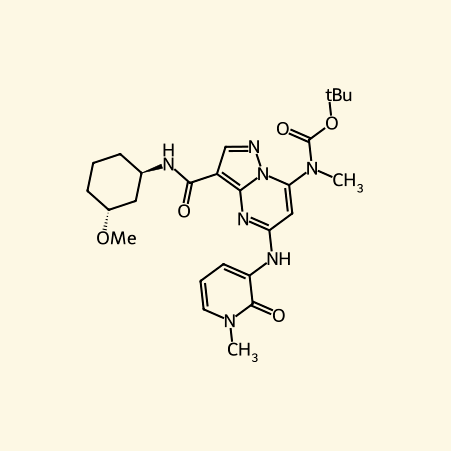 CO[C@@H]1CCC[C@@H](NC(=O)c2cnn3c(N(C)C(=O)OC(C)(C)C)cc(Nc4cccn(C)c4=O)nc23)C1